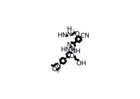 CC1CN([C@H]2CC[C@H](C(C)/C=C(/Nc3ncc(-c4ccc(C#N)c(O[C@@H](C)CNC=N)c4)cn3)C(=N)OCCCO)CC2)C[C@H](C)O1